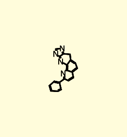 C1=NC2=Nc3c(ccc4ccc(-c5ccccc5)nc34)CC2=N1